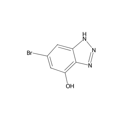 Oc1cc(Br)cc2[nH]nnc12